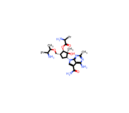 Cc1nc(N)c2c(C(N)=O)cn([C@@H]3C[C@H](COC(C)C(N)C(C)C)[C@@H](OC(=O)C(N)C(C)C)[C@@]3(C)O)c2n1